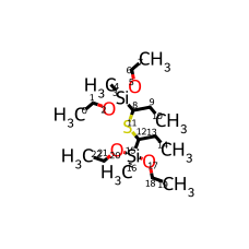 CCO[Si](C)(OCC)C(CC)SC(CC)[Si](C)(OCC)OCC